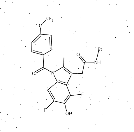 CCNC(=O)Cc1c(C)n(C(=O)c2ccc(OC(F)(F)F)cc2)c2cc(F)c(O)c(F)c12